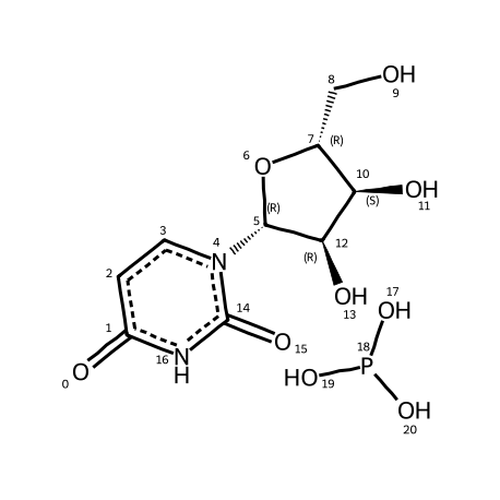 O=c1ccn([C@@H]2O[C@H](CO)[C@@H](O)[C@H]2O)c(=O)[nH]1.OP(O)O